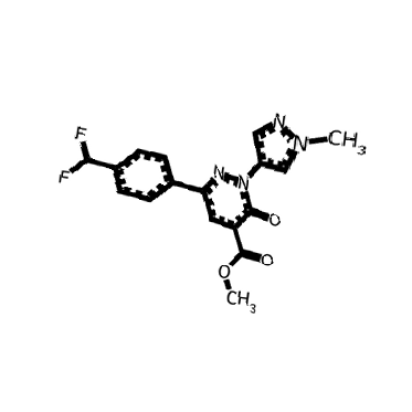 COC(=O)c1cc(-c2ccc(C(F)F)cc2)nn(-c2cnn(C)c2)c1=O